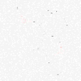 CCCOc1cccc2oc(C(=O)OCC)c(C)c12